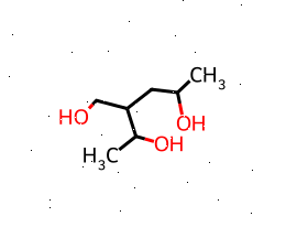 CC(O)CC(CO)C(C)O